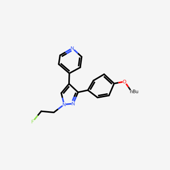 CCCCOc1ccc(-c2nn(CCF)cc2-c2ccncc2)cc1